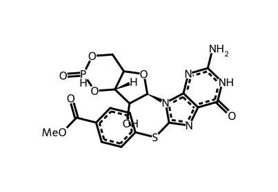 COC(=O)c1ccc(Sc2nc3c(=O)[nH]c(N)nc3n2[C@@H]2OC3CO[PH](=O)O[C@H]3C2O)cc1